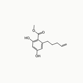 C=CCCCc1cc(O)cc(O)c1C(=O)OC